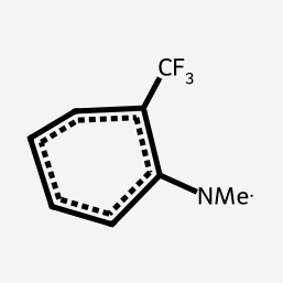 C[N]c1ccccc1C(F)(F)F